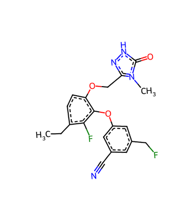 CCc1ccc(OCc2n[nH]c(=O)n2C)c(Oc2cc(C#N)cc(CF)c2)c1F